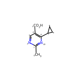 Cc1ncc(C(=O)O)c(C2CC2)n1